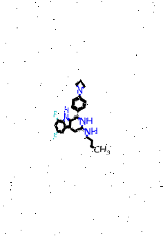 CCCCN[C@H]1Cc2c([nH]c3c(F)cc(F)cc23)[C@H](c2ccc(N3CCC3)cc2)N1